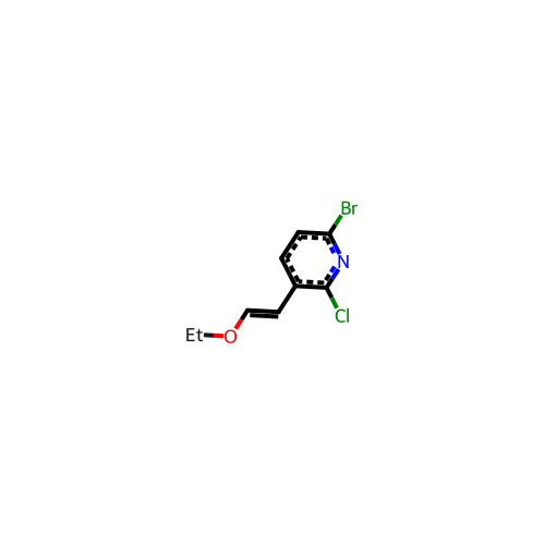 CCOC=Cc1ccc(Br)nc1Cl